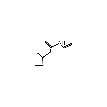 C=CNC(=C)CC(I)CC